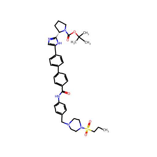 CCCS(=O)(=O)N1CCN(Cc2ccc(NC(=O)c3ccc(-c4ccc(-c5cnc([C@@H]6CCCN6C(=O)OC(C)(C)C)[nH]5)cc4)cc3)cc2)CC1